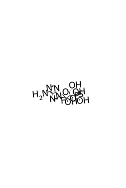 Nc1ncnc2c1ncn2[C@@H]1O[C@H](CO)[C@@H](OP(O)(O)=S)[C@]1(O)F